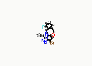 CC(C)(C)C1N=NC2=C(Br)C=C3OCCc4cccc(F)c4CN=C3N21